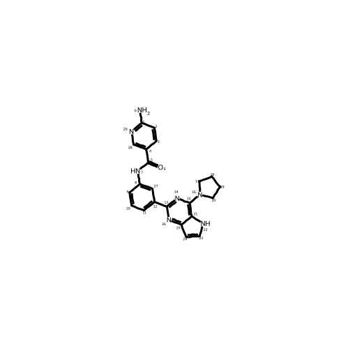 Nc1ccc(C(=O)Nc2cccc(-c3nc(N4CCCC4)c4[nH]ccc4n3)c2)cn1